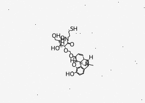 CN1CC[C@]23c4c5ccc(O)c4O[C@H]2[C@@H](OCOC(C(=O)NCCS)[C@@H](O)[C@@H](O)CO)C=CC3[C@H]1C5